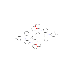 Cc1ccc(N2c3cccc4c3[SiH]3c5c2cccc5N(c2ccc(C)cc2)c2c3c(cc3c5c6c(cc23)N(c2ccc(C)cc2)c2cccc3c2[SiH]6c2c(cccc2N5c2ccc(C)cc2)N3c2ccc(C)cc2)N4c2ccc(C)cc2)cc1